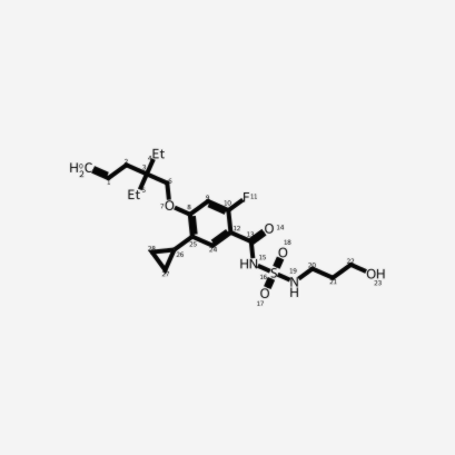 C=CCC(CC)(CC)COc1cc(F)c(C(=O)NS(=O)(=O)NCCCO)cc1C1CC1